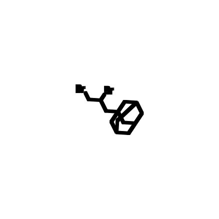 BrCC(Br)CC12CC3CC(CC(C3)C1)C2